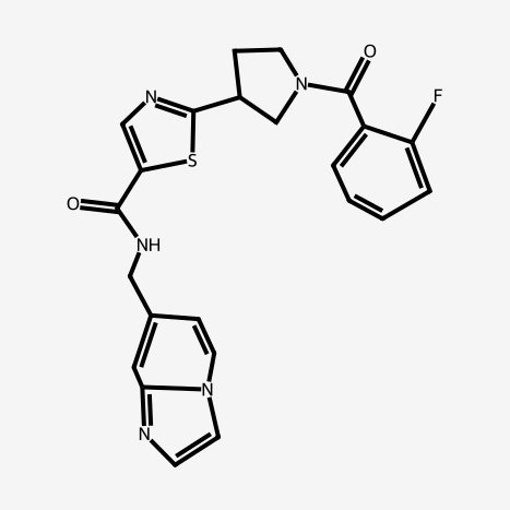 O=C(NCc1ccn2ccnc2c1)c1cnc(C2CCN(C(=O)c3ccccc3F)C2)s1